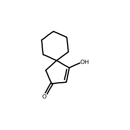 O=C1C=C(O)C2(CCCCC2)C1